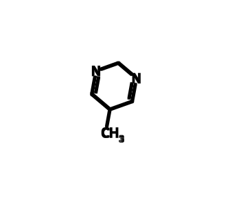 CC1C=NCN=C1